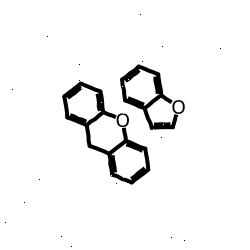 c1ccc2c(c1)Cc1ccccc1O2.c1ccc2occc2c1